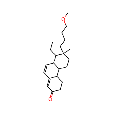 CCC1C2C=CC3=CC(=O)CCC3C2CCC1(C)CCCCOC